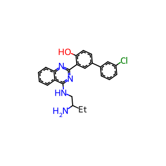 CCC(N)CNc1nc(-c2cc(-c3cccc(Cl)c3)ccc2O)nc2ccccc12